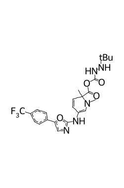 CN1C=C(Nc2ncc(-c3ccc(C(F)(F)F)cc3)o2)C=CC1(C)C(=O)OC(=O)NNC(C)(C)C